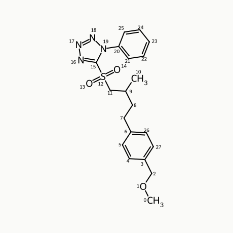 COCc1ccc(CCC(C)CS(=O)(=O)c2nnnn2-c2ccccc2)cc1